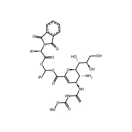 C=C(NC(=O)OC(C)(C)C)N[C@H]1C=C(C(=O)OC(OC(=O)[C@@H](C(C)C)N2C(=O)c3ccccc3C2=O)C(C)C)O[C@@H]([C@H](O)[C@H](O)CO)[C@@H]1N